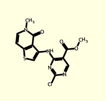 COC(=O)c1cnc(Cl)nc1Nc1csc2ccn(C)c(=O)c12